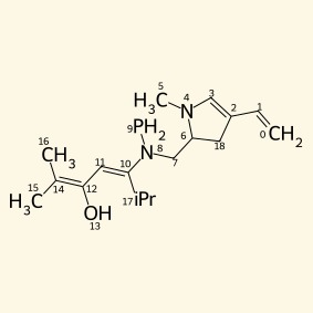 C=CC1=CN(C)C(CN(P)/C(=C/C(O)=C(C)C)C(C)C)C1